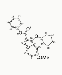 COc1ccc2sc(C(=O)Oc3ccccc3)c(OC3CCCCC3)c2c1